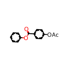 CC(=O)Oc1ccc(C(=O)Oc2ccccc2)cc1